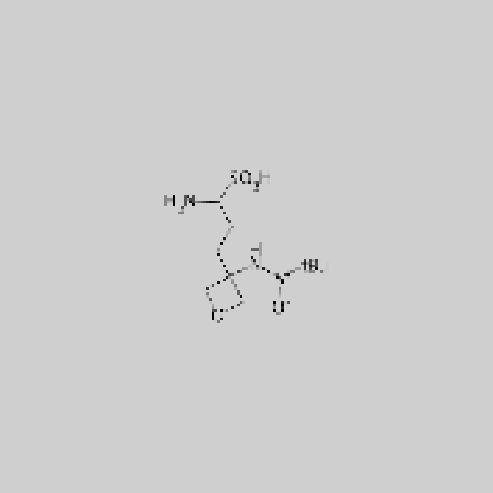 CC(C)(C)[S+]([O-])NC1(CCC(N)S(=O)(=O)O)COC1